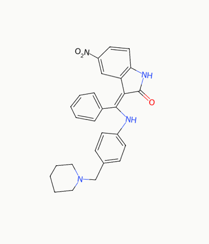 O=C1Nc2ccc([N+](=O)[O-])cc2C1=C(Nc1ccc(CN2CCCCC2)cc1)c1ccccc1